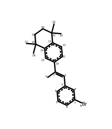 C/C(=C\c1cccc(Br)c1)c1ccc2c(c1)C(C)(C)CCC2(C)C